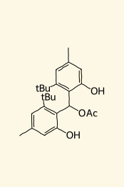 CC(=O)OC(c1c(O)cc(C)cc1C(C)(C)C)c1c(O)cc(C)cc1C(C)(C)C